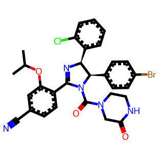 CC(C)Oc1cc(C#N)ccc1C1=N[C@@H](c2ccccc2Cl)[C@@H](c2ccc(Br)cc2)N1C(=O)N1CCNC(=O)C1